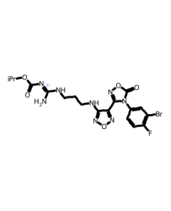 CC(C)OC(=O)/N=C(\N)NCCCNc1nonc1-c1noc(=O)n1-c1ccc(F)c(Br)c1